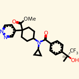 COC(=O)C1(c2ccnnc2)CCC(N(C(=O)c2ccc([C@](C)(O)C(F)(F)F)cc2)C2CC2)CC1